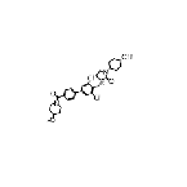 COC1CCN(C(=O)c2ccc(-c3cc(Cl)c(C[C@@H]4CCN([C@H]5CC[C@@H](O)CC5)C4=O)c(Cl)c3)cc2)CC1